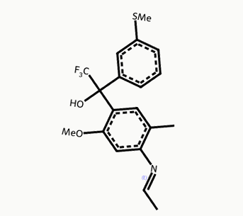 C/C=N/c1cc(OC)c(C(O)(c2cccc(SC)c2)C(F)(F)F)cc1C